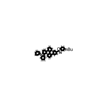 CCCCc1ccc2oc(-c3ccc(-c4ccccc4-c4ccccc4-c4ccc5c(c4)c4ccccc4n5-c4ccccc4)cc3)nc2c1